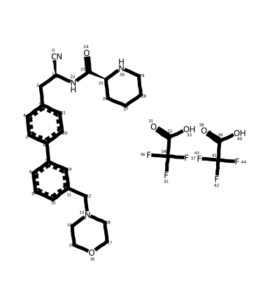 N#C[C@H](Cc1ccc(-c2cccc(CN3CCOCC3)c2)cc1)NC(=O)[C@@H]1CCCCN1.O=C(O)C(F)(F)F.O=C(O)C(F)(F)F